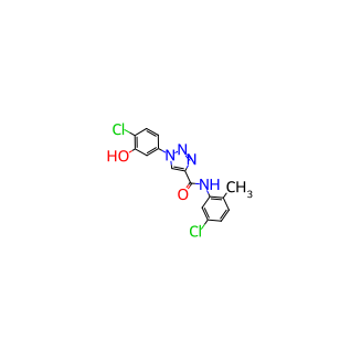 Cc1ccc(Cl)cc1NC(=O)c1cn(-c2ccc(Cl)c(O)c2)nn1